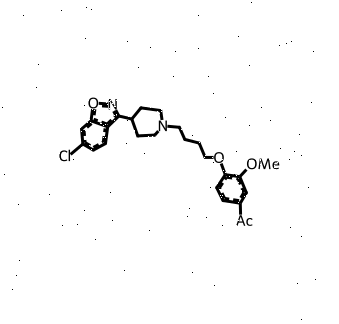 COc1cc(C(C)=O)ccc1OCCCCN1CCC(c2noc3cc(Cl)ccc23)CC1